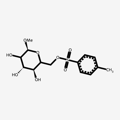 CO[C@H]1OC(COS(=O)(=O)c2ccc(C)cc2)[C@@H](O)[C@H](O)C1O